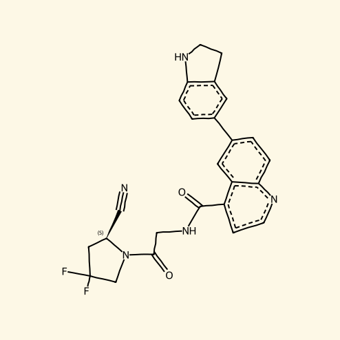 N#C[C@@H]1CC(F)(F)CN1C(=O)CNC(=O)c1ccnc2ccc(-c3ccc4c(c3)CCN4)cc12